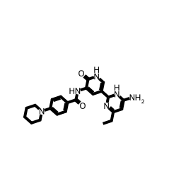 CCC1=NC(c2c[nH]c(=O)c(NC(=O)c3ccc(N4CCCCC4)cc3)c2)NC(N)=C1